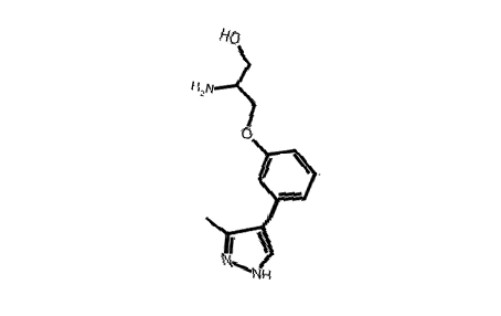 Cc1n[nH]cc1-c1c[c]cc(OCC(N)CO)c1